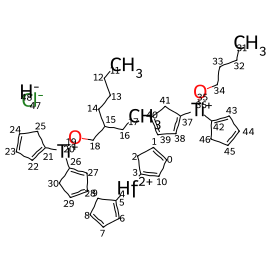 C1=CC[C]([Hf+2][C]2=CC=CC2)=C1.CCCCC(CC)C[O][Ti+]([C]1=CC=CC1)[C]1=CC=CC1.CCCC[O][Ti+]([C]1=CC=CC1)[C]1=CC=CC1.[Cl-].[H-]